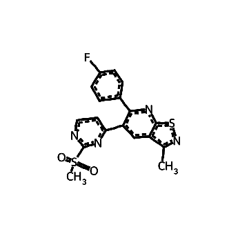 Cc1nsc2nc(-c3ccc(F)cc3)c(-c3ccnc(S(C)(=O)=O)n3)cc12